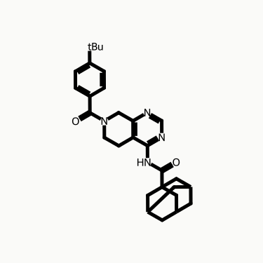 CC(C)(C)c1ccc(C(=O)N2CCc3c(ncnc3NC(=O)C34CC5CC(CC(C5)C3)C4)C2)cc1